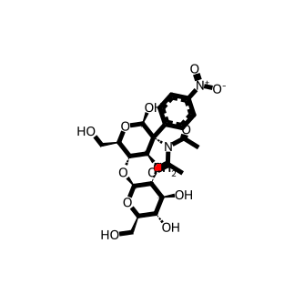 CC(=O)N(C(C)=O)[C@@]1(c2ccc([N+](=O)[O-])cc2)[C@H](O)O[C@H](CO)[C@@H](O[C@@H]2O[C@H](CO)[C@@H](O)[C@H](O)[C@H]2N)[C@@H]1O